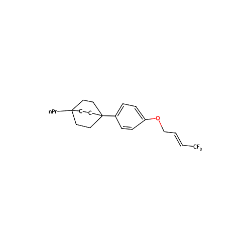 CCCC12CCC(c3ccc(OCC=CC(F)(F)F)cc3)(CC1)CC2